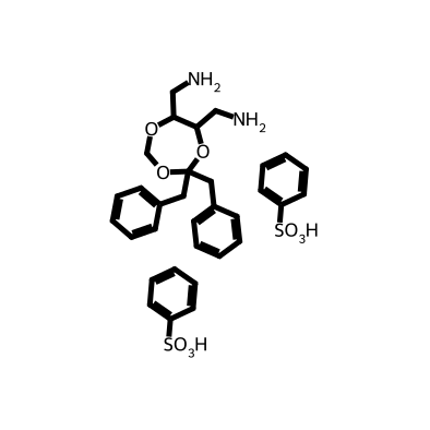 NCC1OCOC(Cc2ccccc2)(Cc2ccccc2)OC1CN.O=S(=O)(O)c1ccccc1.O=S(=O)(O)c1ccccc1